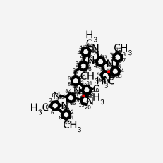 Cc1ccc2c(c1)c1cc(C)ccc1n2-c1cc(-c2ccncc2)c(-n2c3ccc(C)cc3c3cc(Cc4cc5c6ccc(C)cc6n(-c6cc(-c7ccncc7)c(-n7c8cc(C)ccc8c8ccc(C)cc87)cc6C#N)c5cc4C)ccc32)cc1C#N